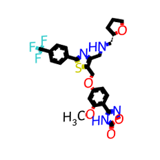 COc1cc(OCc2sc(-c3ccc(C(F)(F)F)cc3)nc2CNC[C@@H]2CCCO2)ccc1-c1noc(=O)[nH]1